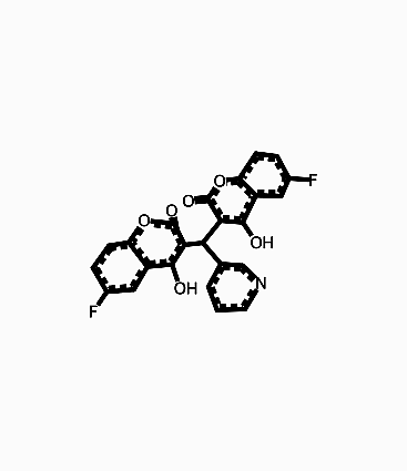 O=c1oc2ccc(F)cc2c(O)c1C(c1cccnc1)c1c(O)c2cc(F)ccc2oc1=O